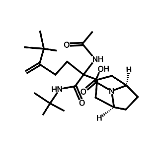 C=C(CCC(NC(C)=O)(C(=O)NC(C)(C)C)C1C[C@H]2CC[C@@H](C1)N2C(=O)O)C(C)(C)C